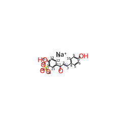 O=C(/C=C/c1ccc(O)cc1)c1ccc(O)c(S(=O)(=O)[O-])c1.[Na+]